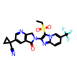 CCS(=O)(=O)c1c(N2Cc3ncc(C4(C#N)CC4)cc3C2=O)nc2ccc(C(F)(F)F)cn12